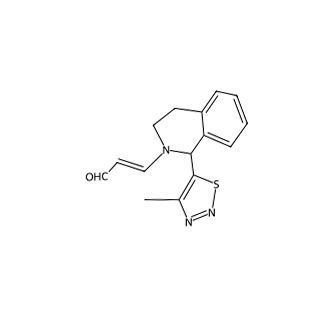 Cc1nnsc1C1c2ccccc2CCN1C=CC=O